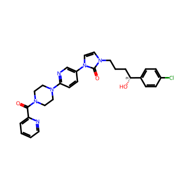 O=C(c1ccccn1)N1CCN(c2ccc(-n3ccn(CCC[C@@H](O)c4ccc(Cl)cc4)c3=O)cn2)CC1